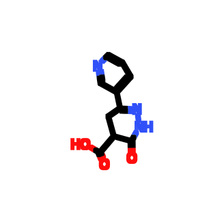 O=C(O)C1CC(c2cccnc2)=NNC1=O